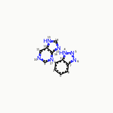 c1ccc2[nH]nnc2c1.c1ncc2[nH]cnc2n1